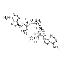 BP1(=O)OC[C@H]2O[C@@H](n3cnc4c(N)ncnc43)[C@H](OP(=O)(S)OC[C@H]3O[C@@H](n4cnc5c(N)ncnc54)[C@H](F)[C@@H]3O1)[C@H]2F